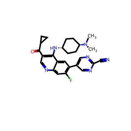 CN(C)[C@H]1CC[C@H](Nc2c(C(=O)C3CC3)cnc3cc(F)c(-c4cnc(C#N)nc4)cc23)CC1